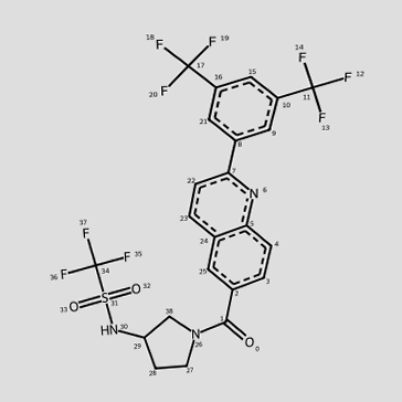 O=C(c1ccc2nc(-c3cc(C(F)(F)F)cc(C(F)(F)F)c3)ccc2c1)N1CCC(NS(=O)(=O)C(F)(F)F)C1